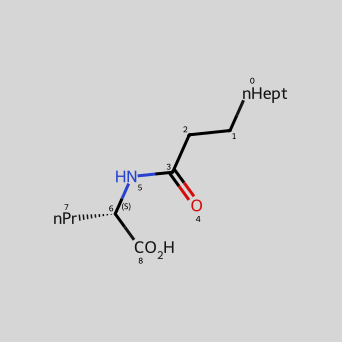 CCCCCCCCCC(=O)N[C@@H](CCC)C(=O)O